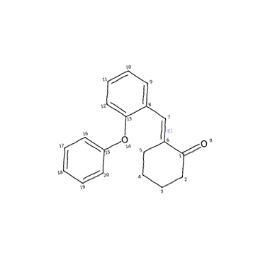 O=C1CCCC/C1=C\c1ccccc1Oc1ccccc1